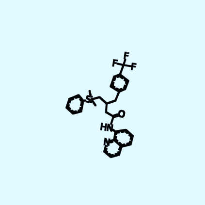 C[Si](C)(CC(CC(=O)Nc1cccc2cccnc12)Cc1ccc(C(F)(F)F)cc1)c1ccccc1